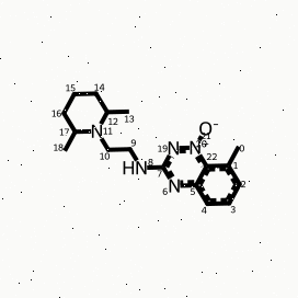 Cc1cccc2nc(NCCN3C(C)CCCC3C)n[n+]([O-])c12